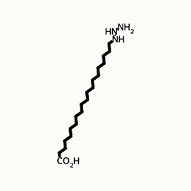 NNNCCCCCCCCCCCCCCCCCCCC(=O)O